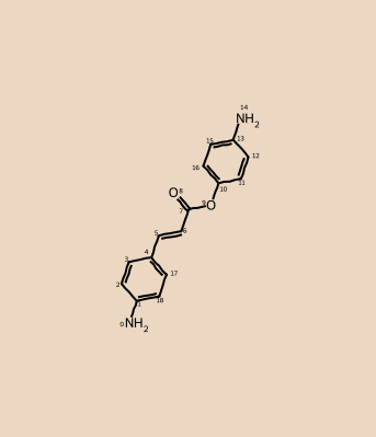 Nc1ccc(/C=C/C(=O)Oc2ccc(N)cc2)cc1